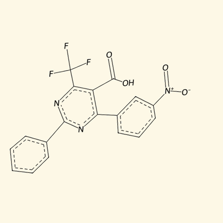 O=C(O)c1c(-c2cccc([N+](=O)[O-])c2)nc(-c2ccccc2)nc1C(F)(F)F